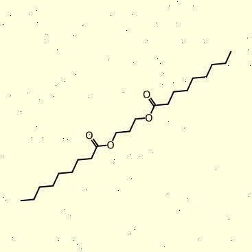 CCCCCCCCC(=O)OCCCOC(=O)CCCCCCCC